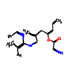 C=C/C=C(\CC(=C)\C=N/C(/N=C\C(C)C)=C(/C)C(C)=O)OC(=O)C=N